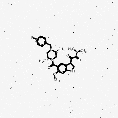 COc1cc2c(cc1C(=O)N1C[C@H](C)N(Cc3ccc(F)cc3)C[C@H]1C)C(C(=O)C(=O)N(C)C)CN2